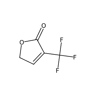 O=C1OCC=C1C(F)(F)F